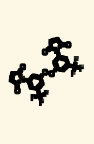 O=C1C=CC(=O)N1c1cc(OOc2cc(N3C(=O)C=CC3=O)cc(C(F)(F)F)c2)cc(C(F)(F)F)c1